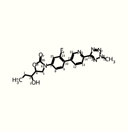 CCC(O)C1CN(c2ccc(-c3ccc(-c4nnn(C)n4)nc3)c(F)c2)C(=O)O1